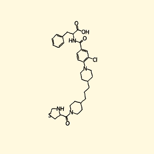 O=C(NC(Cc1ccccc1)C(=O)O)c1ccc(N2CCC(CCCC3CCN(C(=O)C4CSCN4)CC3)CC2)c(Cl)c1